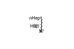 Br.CCCCCCCCCCCCCC[N+](C)(C)C.[Cl-]